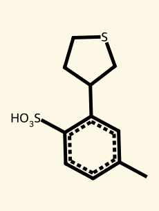 Cc1ccc(S(=O)(=O)O)c(C2CCSC2)c1